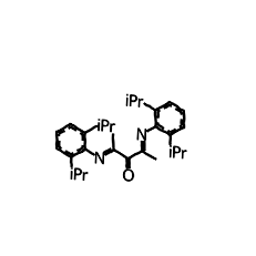 CC(=Nc1c(C(C)C)cccc1C(C)C)C(=O)C(C)=Nc1c(C(C)C)cccc1C(C)C